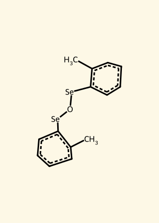 Cc1ccccc1[Se]O[Se]c1ccccc1C